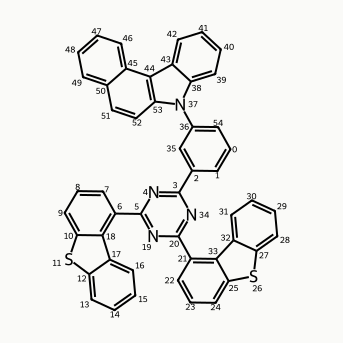 c1cc(-c2nc(-c3cccc4sc5ccccc5c34)nc(-c3cccc4sc5ccccc5c34)n2)cc(-n2c3ccccc3c3c4ccccc4ccc32)c1